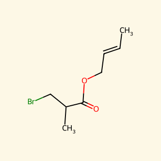 CC=CCOC(=O)C(C)CBr